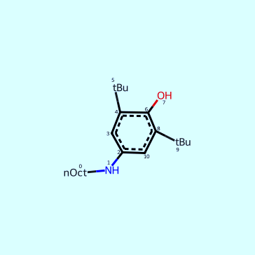 CCCCCCCCNc1cc(C(C)(C)C)c(O)c(C(C)(C)C)c1